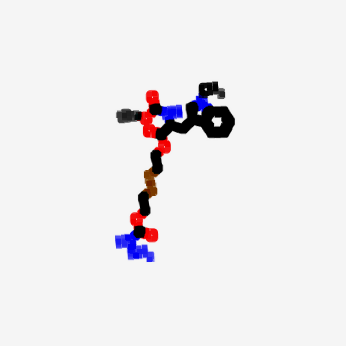 Cn1cc(CC(NC(=O)OC(C)(C)C)C(=O)OCCSSCCOC(=O)NN)c2ccccc21